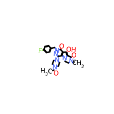 CC(=O)N1CCN(c2nn(Cc3ccc(F)cc3)c(=O)c3c(O)c4n(c23)CCN(C)C4=O)CC1